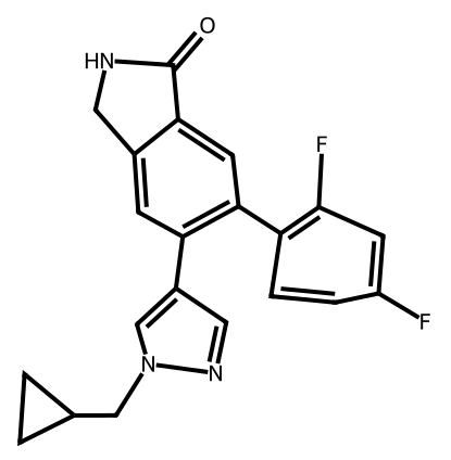 O=C1NCc2cc(-c3cnn(CC4CC4)c3)c(-c3ccc(F)cc3F)cc21